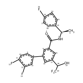 C[C@@H](NC(=O)c1cc(-c2ccc(F)c(F)c2)cc(C(O)C(F)(F)F)c1)c1ccc(F)cn1